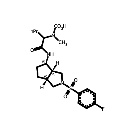 CCCC(C(=O)N[C@@H]1CC[C@H]2CN(S(=O)(=O)c3ccc(F)cc3)C[C@H]21)N(C)C(=O)O